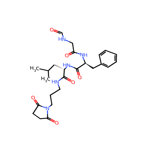 CC(C)C[C@H](NC(=O)[C@H](Cc1ccccc1)NC(=O)CNC=O)C(=O)NCCCN1C(=O)CCC1=O